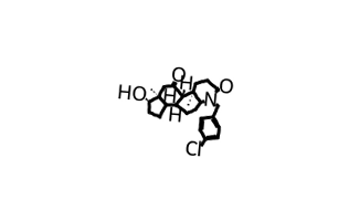 C[C@]12CC(=O)[C@H]3[C@@H](CCC4N(Cc5ccc(Cl)cc5)C(=O)CC[C@@]43C)[C@@H]1CC[C@@H]2O